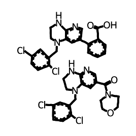 O=C(O)c1ccccc1-c1cnc2c(c1)N(Cc1cc(Cl)ccc1Cl)CCN2.O=C(c1cnc2c(c1)N(Cc1cc(Cl)ccc1Cl)CCN2)N1CCOCC1